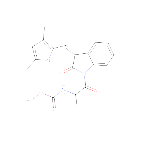 Cc1cc(C)c(/C=C2\C(=O)N(C(=O)C(C)NC(=O)OC(C)(C)C)c3ccccc32)[nH]1